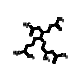 CC(=O)OC[C@H](OC(C)=O)C(OCCC(C)C)OC[C@H](C)OC(C)=O